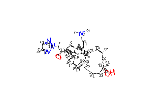 CN(C)C[C@@H]1C[C@H](C(=O)Cn2nccn2)[C@@]2(C)CC[C@@H]3CCC[C@@](C)(O)CCCC[C@H]3[C@H]12